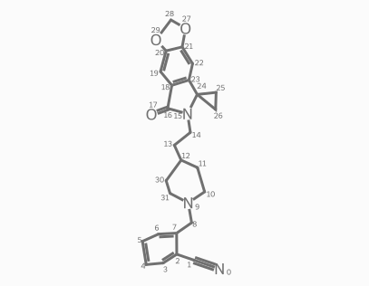 N#Cc1ccccc1CN1CCC(CCN2C(=O)c3cc4c(cc3C23CC3)OCO4)CC1